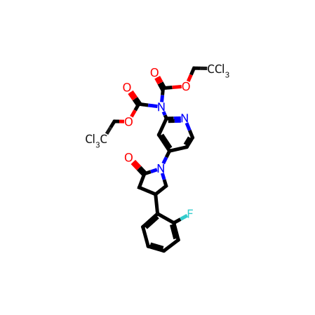 O=C1CC(c2ccccc2F)CN1c1ccnc(N(C(=O)OCC(Cl)(Cl)Cl)C(=O)OCC(Cl)(Cl)Cl)c1